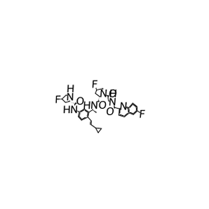 C[C@H](NC(=O)[C@@H]1C[C@@H](F)CN1C(=O)CNC(=O)c1ccc2cc(F)ccc2n1)c1cc(NC(=O)[C@@H]2C[C@@H](F)CN2)ccc1/C=C/C1CC1